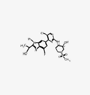 CC(O)c1nc2c(F)cc(-c3nc(N[C@H]4CCN(S(C)(=O)=O)C[C@@H]4O)ncc3Cl)cc2n1C(C)C